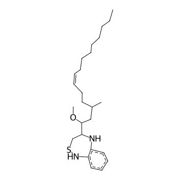 CCCCCCCC/C=C\CCC(C)CC(OC)C1CSNc2ccccc2N1